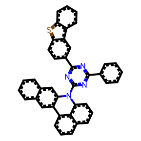 c1ccc(-c2nc(-c3ccc4sc5ccccc5c4c3)nc(N3c4cc5ccccc5cc4-c4cccc5cccc3c45)n2)cc1